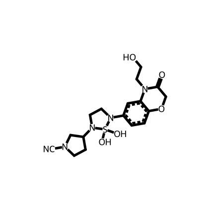 N#CN1CCC(N2CCN(c3ccc4c(c3)N(CCO)C(=O)CO4)S2(O)O)C1